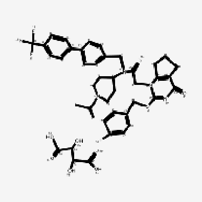 CC(C)N1CCC(N(Cc2ccc(-c3ccc(C(F)(F)F)cc3)cc2)C(=O)Cn2c(SCc3ccc(F)cc3)nc(=O)c3c2CCC3)CC1.O=C(O)C(O)C(O)C(=O)O